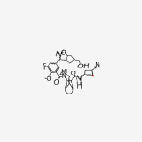 COc1c(F)cc(C2=NOC3CC(CO)CC23)cc1C(=O)N[C@@H]1C2CCC(/C2=C/C2CC2)[C@@H]1C(=O)NC12CC(C#N)(C1)C2